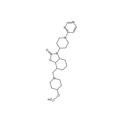 O=C(O)OC1CCN(CC2CCCC3C2OC(=O)N3C2CCN(c3ccncn3)CC2)CC1